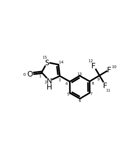 O=c1[nH]c(-c2cccc(C(F)(F)F)c2)cs1